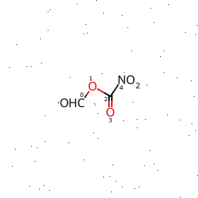 O=[C]OC(=O)[N+](=O)[O-]